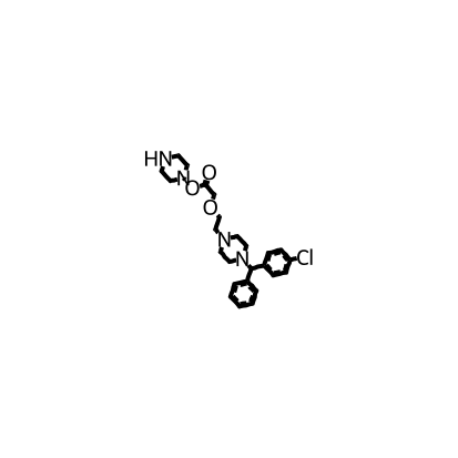 O=C(COCCN1CCN(C(c2ccccc2)c2ccc(Cl)cc2)CC1)ON1CCNCC1